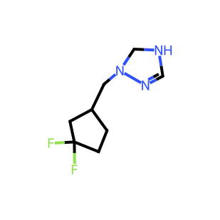 FC1(F)CCC(CN2CNC=N2)C1